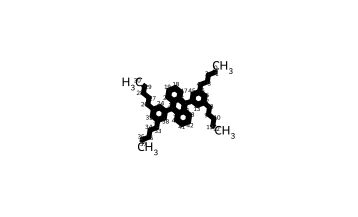 CCCCCc1cc(CCCCC)cc(-c2c3ccccc3c(-c3cc(CCCCC)cc(CCCCC)c3)c3ccccc23)c1